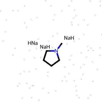 CN1CCCC1.[NaH].[NaH].[NaH]